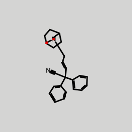 N#CC(C=CCN1CC2CCC(CC2)C1)(c1ccccc1)c1ccccc1